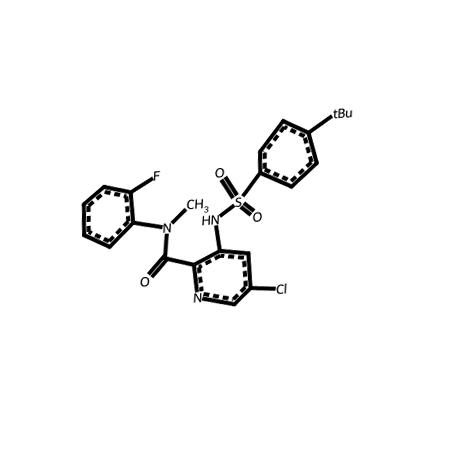 CN(C(=O)c1ncc(Cl)cc1NS(=O)(=O)c1ccc(C(C)(C)C)cc1)c1ccccc1F